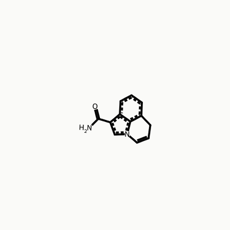 NC(=O)c1cn2c3c(cccc13)CC=C2